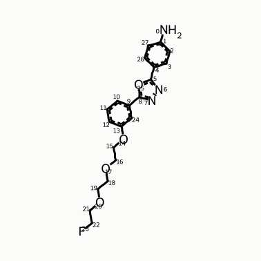 Nc1ccc(-c2nnc(-c3cccc(OCCOCCOCCF)c3)o2)cc1